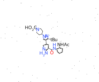 CC(=O)Nc1ccccc1NC(=O)c1cc(-c2cn(C3CCN(C(=O)O)CC3)nc2C(C)(C)C)cnc1N